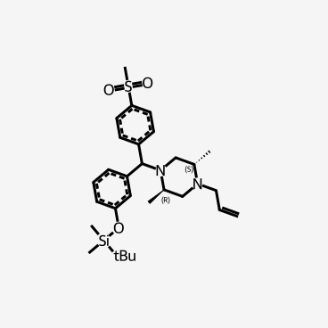 C=CCN1C[C@@H](C)N(C(c2ccc(S(C)(=O)=O)cc2)c2cccc(O[Si](C)(C)C(C)(C)C)c2)C[C@@H]1C